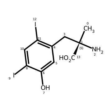 C[C@](N)(Cc1cc(O)c(I)cc1I)C(=O)O